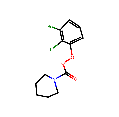 O=C(OOc1cccc(Br)c1F)N1CCCCC1